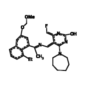 CCc1cccc2cc(OCOC)cc(/C(C)=N/C=c3/c(N4CCCCCC4)nc(O)n/c3=C\F)c12